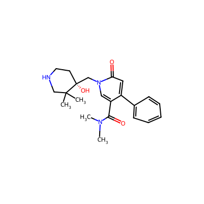 CN(C)C(=O)c1cn(C[C@]2(O)CCNCC2(C)C)c(=O)cc1-c1ccccc1